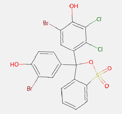 O=S1(=O)OC(c2ccc(O)c(Br)c2)(c2cc(Br)c(O)c(Cl)c2Cl)c2ccccc21